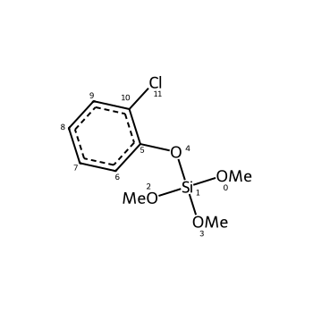 CO[Si](OC)(OC)Oc1ccccc1Cl